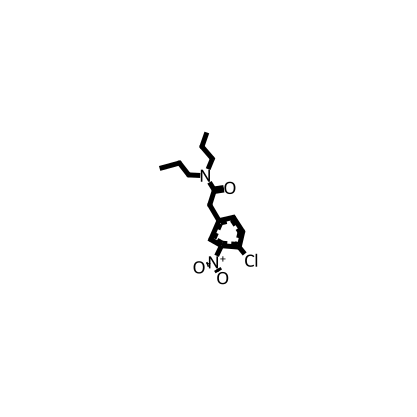 CCCN(CCC)C(=O)Cc1ccc(Cl)c([N+](=O)[O-])c1